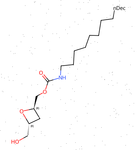 CCCCCCCCCCCCCCCCCCNC(=O)OC[C@H]1C[C@H](CO)O1